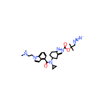 CN(C)CCn1ccc2c(C(=O)N(C3CC3)C3CCc4nn(C(=O)OC(C)(C)CN=[N+]=[N-])cc4C3)cccc21